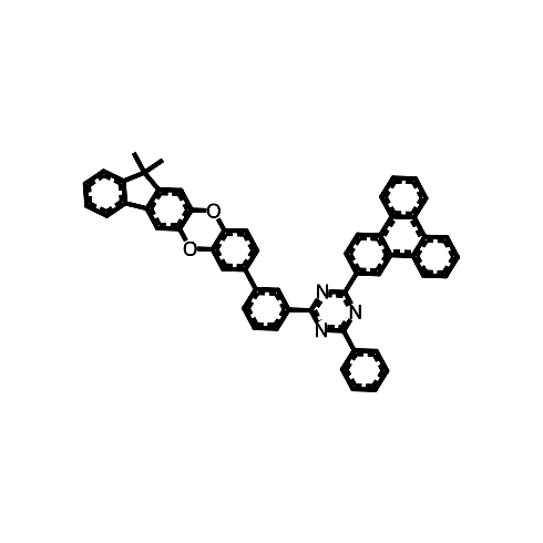 CC1(C)c2ccccc2-c2cc3c(cc21)Oc1ccc(-c2cccc(-c4nc(-c5ccccc5)nc(-c5ccc6c7ccccc7c7ccccc7c6c5)n4)c2)cc1O3